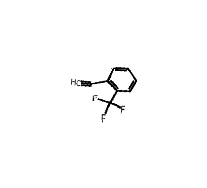 C#Cc1[c]cccc1C(F)(F)F